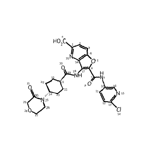 O=C(O)c1ccc2oc(C(=O)Nc3ccc(Cl)nc3)c(NC(=O)[C@H]3CC[C@H](N4CCOCC4=O)CC3)c2n1